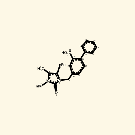 CCCCc1c(C)n(CCCC)c(=O)n1Cc1ccc(-c2ccccc2)c(C(=O)O)c1